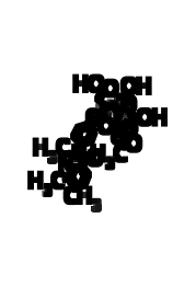 CC(=O)OC[C@H]1O[C@@H](Oc2ccc(-n3c(C)nc4c(C)c(C)ccc4c3=O)cc2)[C@@H](CC(=O)O)[C@H](CC(=O)O)[C@@H]1CC(=O)O